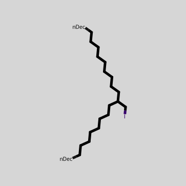 CCCCCCCCCCCCCCCCCCCC(CI)CCCCCCCCCCCCCCCCCC